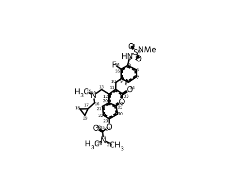 CNS(=O)(=O)Nc1cccc(Cc2c(CN(C)CC3CC3)c3ccc(OC(=O)N(C)C)cc3oc2=O)c1F